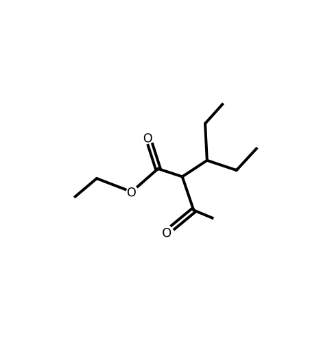 CCOC(=O)C(C(C)=O)C(CC)CC